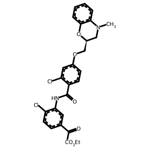 CCOC(=O)C(=O)c1ccc(Cl)c(NC(=O)c2ccc(OC[C@@H]3CN(C)c4ccccc4O3)cc2Cl)c1